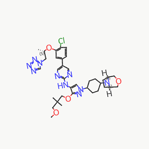 COCC(C)(C)COc1nn(C2CCC(N3[C@@H]4CC[C@H]3COC4)CC2)cc1Nc1ncc(-c2ccc(Cl)c(O[C@@H](C)Cn3cnnn3)c2)cn1